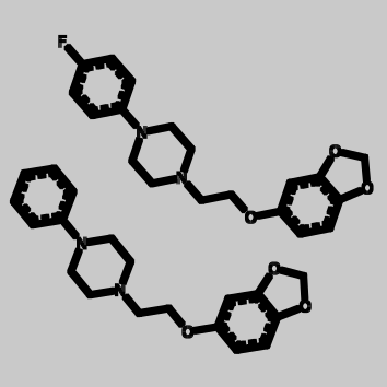 Fc1ccc(N2CCN(CCOc3ccc4c(c3)OCO4)CC2)cc1.c1ccc(N2CCN(CCOc3ccc4c(c3)OCO4)CC2)cc1